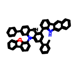 Cc1ccccc1-c1cc(-c2cccc3c2[nH]c2cc4ccccc4cc23)c2c(c1)N(c1cccc3c1oc1ccccc13)c1cc(-c3ccccc3)ccc1B2